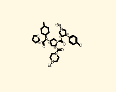 CCN1CCN(C(=O)[C@@H]2C[C@H](N(C(=O)[C@@H]3CCCO3)C3CCC(C)CC3)CN2C(=O)[C@@H]2CN(C(C)(C)C)C[C@H]2c2ccc(Cl)cc2)CC1